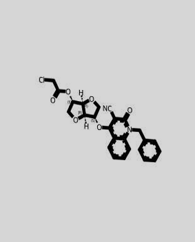 N#Cc1c(O[C@H]2CO[C@H]3[C@@H]2OC[C@@H]3OC(=O)CCl)c2ccccc2n(Cc2ccccc2)c1=O